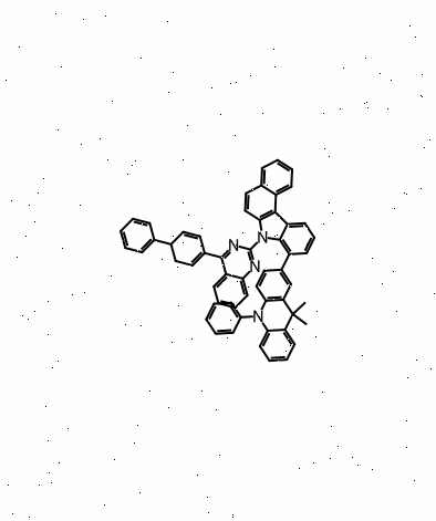 CC1(C)c2ccccc2N(c2ccccc2)c2ccc(-c3cccc4c5c6ccccc6ccc5n(-c5nc(C6=CCC(c7ccccc7)C=C6)c6ccccc6n5)c34)cc21